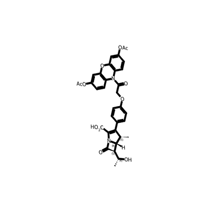 CC(=O)Oc1ccc2c(c1)Oc1cc(OC(C)=O)ccc1N2C(=O)COc1ccc(C2=C(C(=O)O)N3C(=O)[C@H]([C@@H](C)O)[C@H]3[C@H]2C)cc1